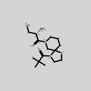 CC(C)(C)C(=O)N1CCSC12CCCN(C(=O)[C@@H](N)CO)C2